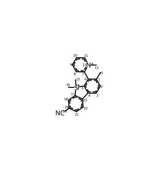 Cc1ccc2c(c1-c1cccc[n+]1C)[Si](C)(C)c1cc(C#N)ccc1-2